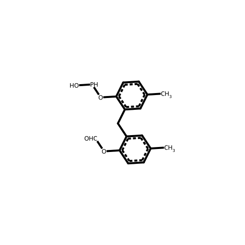 Cc1ccc(OC=O)c(Cc2cc(C)ccc2OPO)c1